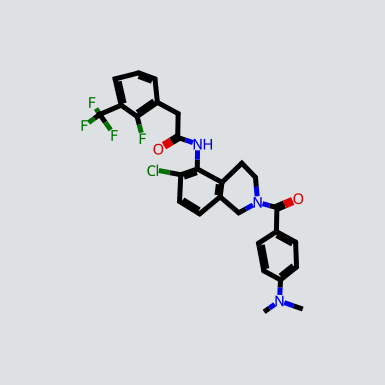 CN(C)c1ccc(C(=O)N2CCc3c(ccc(Cl)c3NC(=O)Cc3cccc(C(F)(F)F)c3F)C2)cc1